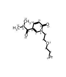 CC(C)CCOCCn1cc(C(=O)N(C)C)ccc1=O